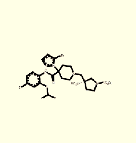 CCOC(=O)N1CC[C@](CN2CCC(C(=O)Nc3ccc(Cl)cc3OC(F)F)(n3nccc3C(C)C)CC2)(C(=O)O)C1